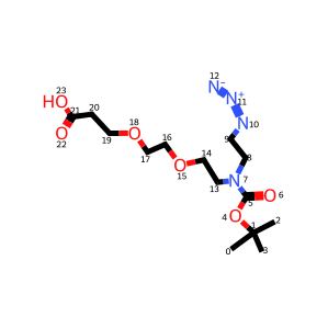 CC(C)(C)OC(=O)N(CCN=[N+]=[N-])CCOCCOCCC(=O)O